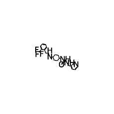 O=C(NCc1cccnc1)NC1CCC(NCCc2ccccc2C(F)(F)F)CC1